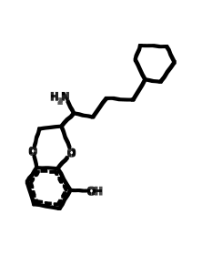 NC(CCCC1CCCCC1)C1COc2cccc(O)c2O1